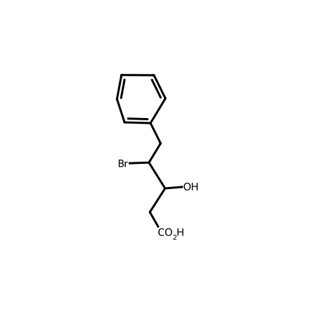 O=C(O)CC(O)C(Br)Cc1ccccc1